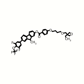 CCC1(COCCCCOc2ccc(C(=O)Oc3ccc4c(c3)C(C)c3cc(-c5cc(F)c(OC(F)(F)F)c(F)c5)ccc3-4)cc2)COC1